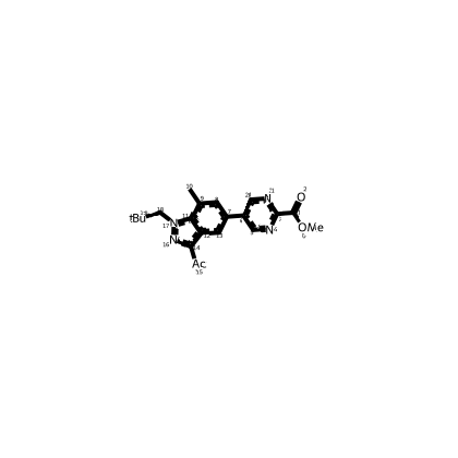 COC(=O)c1ncc(-c2cc(C)c3c(c2)c(C(C)=O)nn3CC(C)(C)C)cn1